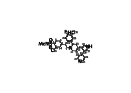 CNS(=O)(=O)c1ccc(CCN2CC=C(c3c[nH]cc3-c3ccncc3)CC2c2ccc(F)cc2)cc1Cl.Cl